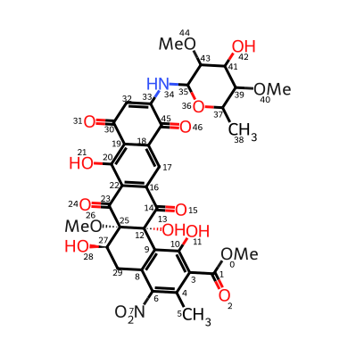 COC(=O)c1c(C)c([N+](=O)[O-])c2c(c1O)[C@]1(O)C(=O)c3cc4c(c(O)c3C(=O)[C@]1(OC)[C@H](O)C2)C(=O)C=C(NC1OC(C)C(OC)C(O)C1OC)C4=O